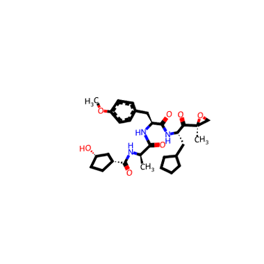 COc1ccc(C[C@H](NC(=O)[C@@H](C)NC(=O)[C@@H]2CC[C@H](O)C2)C(=O)N[C@@H](CC2CCCC2)C(=O)[C@]2(C)CO2)cc1